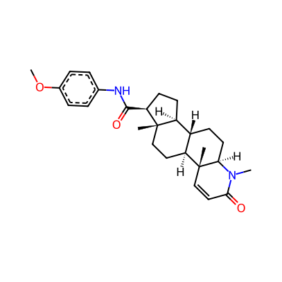 COc1ccc(NC(=O)[C@H]2CC[C@H]3[C@@H]4CC[C@H]5N(C)C(=O)C=C[C@]5(C)[C@H]4CC[C@]23C)cc1